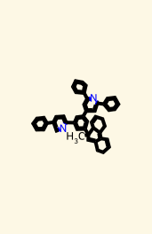 CC1(c2cc(-c3cc(-c4ccccc4)nc(-c4ccccc4)c3)cc(-c3ccc(-c4ccccc4)cn3)c2)C=C2CCC=CC2=C2CCC=CC21